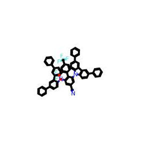 N#Cc1cc(-n2c3ccc(-c4ccccc4)cc3c3cc(-c4ccccc4)ccc32)c(-c2ccc(C(F)(F)F)cc2C(F)(F)F)c(-n2c3ccc(-c4ccccc4)cc3c3cc(-c4ccccc4)ccc32)c1